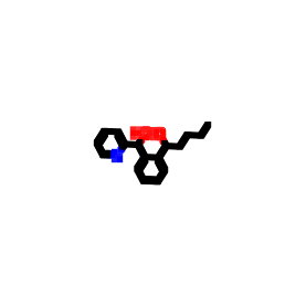 CCCCC(O)c1ccccc1C(O)c1ccccn1